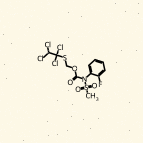 CS(=O)(=O)N(C(=O)OCSC(Cl)(Cl)C(Cl)Cl)c1ccccc1F